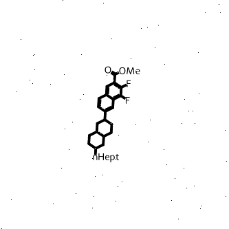 CCCCCCCC1CCC2CC(c3ccc4cc(C(=O)OC)c(F)c(F)c4c3)CCC2C1